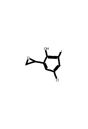 Oc1c(I)cc(Cl)cc1C1CO1